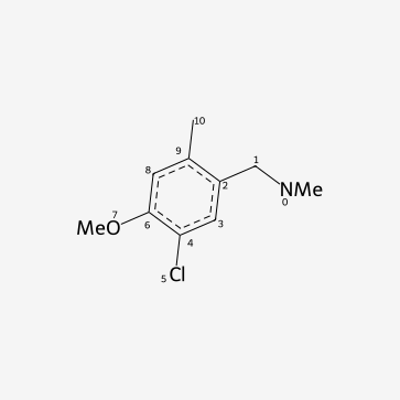 CNCc1cc(Cl)c(OC)cc1C